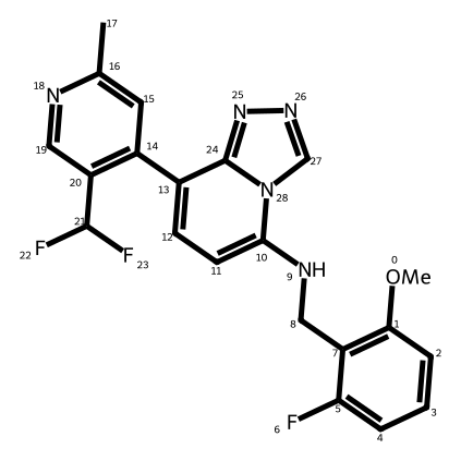 COc1cccc(F)c1CNc1ccc(-c2cc(C)ncc2C(F)F)c2nncn12